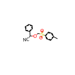 Cc1ccc(S(=O)(=O)CO[C@@H](C#N)c2ccccc2)cc1